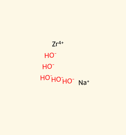 [Na+].[OH-].[OH-].[OH-].[OH-].[OH-].[Zr+4]